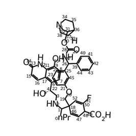 CCCC(NC[C@H](O)c1ccc(O)c2[nH]c(=O)ccc12)C1(COc2cccc(C(NC(=O)O[C@H]3CN4CCC3CC4)c3ccccc3)c2)C=CC(C(=O)O)C(F)=C1